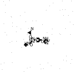 CC(C)(C)CNC(=O)c1nc(OC[C@@H]2C[C@@H]2C#N)nc(N2CCC(COc3cnccc3N)CC2)n1